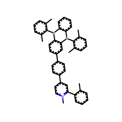 Cc1ccccc1-c1cc(-c2ccc(-c3ccc4c(c3)B(c3c(C)cccc3C)c3ccccc3B4c3c(C)cccc3C)cc2)cc[n+]1C